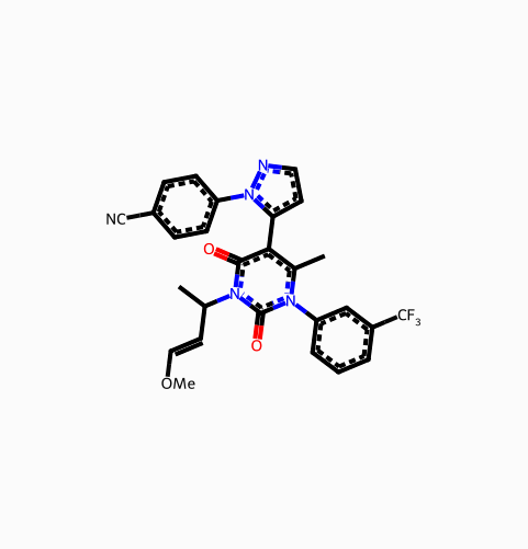 COC=CC(C)n1c(=O)c(-c2ccnn2-c2ccc(C#N)cc2)c(C)n(-c2cccc(C(F)(F)F)c2)c1=O